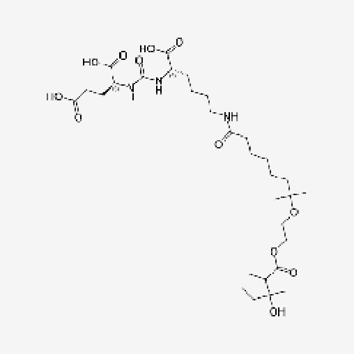 CCC(C)(O)C(C)C(=O)OCCOC(C)(C)CCCCCC(=O)NCCCC[C@H](NC(=O)N[C@@H](CCC(=O)O)C(=O)O)C(=O)O